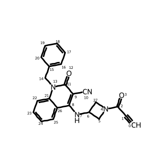 C#CC(=O)N1CC(Nc2c(C#N)c(=O)n(Cc3ccccc3)c3ccccc23)C1